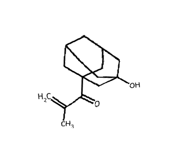 C=C(C)C(=O)C12CC3CC(CC(O)(C3)C1)C2